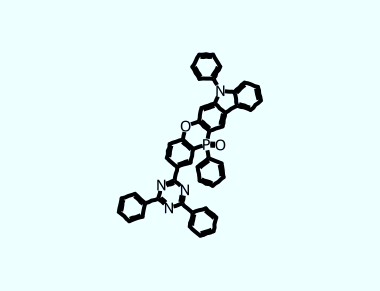 O=P1(c2ccccc2)c2cc(-c3nc(-c4ccccc4)nc(-c4ccccc4)n3)ccc2Oc2cc3c(cc21)c1ccccc1n3-c1ccccc1